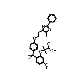 COc1ccc(C(=O)c2ccc(OCCc3nc(-c4ccccc4)oc3C)cc2)c(OC(C)(C)C(=O)O)c1